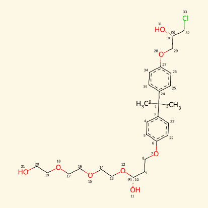 CC(C)(c1ccc(OCC[C@H](O)OCCOCCOCCO)cc1)c1ccc(OC[C@H](O)CCl)cc1